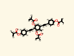 C=C(C)C(=O)Oc1ccc(C#Cc2cc(OC(=O)C(=C)C)c(C#Cc3ccc(OC(=O)C(=C)C)cc3)c(OC(=O)C(=C)C)c2C)cc1